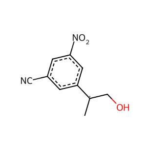 C[C](CO)c1cc(C#N)cc([N+](=O)[O-])c1